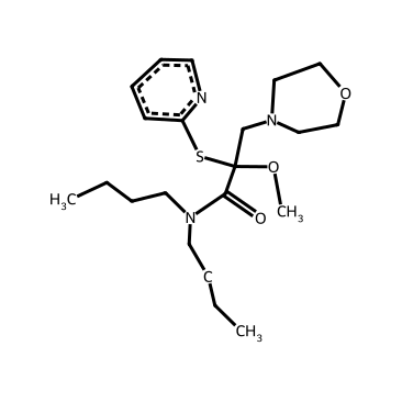 CCCCN(CCCC)C(=O)C(CN1CCOCC1)(OC)Sc1ccccn1